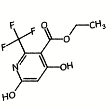 CCOC(=O)c1c(O)cc(O)nc1C(F)(F)F